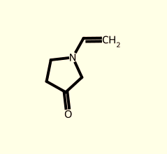 C=CN1CCC(=O)C1